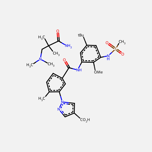 CN(C)CC(C)(C)C(N)=O.COc1c(NC(=O)c2ccc(C)c(-n3cc(C(=O)O)cn3)c2)cc(C(C)(C)C)cc1NS(C)(=O)=O